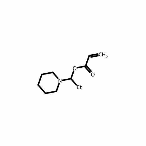 C=CC(=O)OC(CC)N1CCCCC1